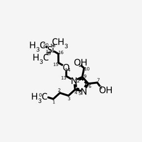 CCCCc1nc(CO)c(CO)n1COCC[Si](C)(C)C